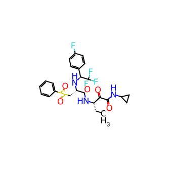 CC[C@H](NC(=O)[C@H](CS(=O)(=O)c1ccccc1)N[C@@H](c1ccc(F)cc1)C(F)(F)F)C(=O)C(=O)NC1CC1